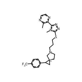 Cc1nccnc1-c1nnc(SCCCN2CC[C@]3(CC3c3ccc(C(F)(F)F)cc3)C2)n1C